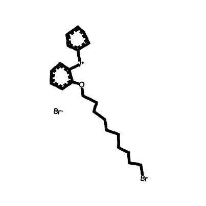 BrCCCCCCCCCCOc1ccccc1[I+]c1ccccc1.[Br-]